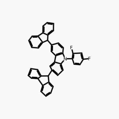 Fc1ccc(-n2c3ccc(C4c5ccccc5-c5ccccc54)cc3c3cc(C4c5ccccc5-c5ccccc54)ccc32)c(F)c1